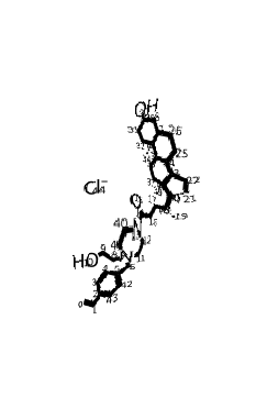 C=Cc1ccc(C[N+]2(CCO)CCN(C(=O)CC[C@@H](C)[C@H]3CCC4C5CCC6C[C@H](O)CC[C@]6(C)C5CC[C@@]43C)CC2)cc1.[Cl-]